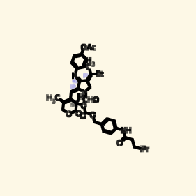 CC\C(C)=C1/CN(C=O)C(=C\C2=C(C)COC(=O)[C@@]2(CC)OC(=O)OCc2ccc(NC(=O)CCC(C)C)cc2)/C1=N/c1ccc(OC(C)=O)cc1